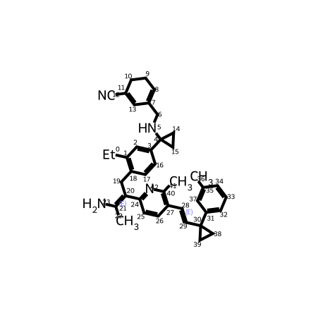 CCc1cc(C2(NCC3=CCCC(C#N)=C3)CC2)ccc1C/C(=C(/C)N)c1ccc(/C=C/C2(c3cccc(C)c3)CC2)c(C)n1